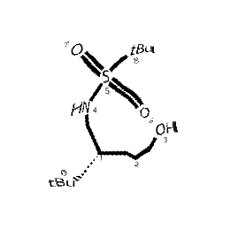 CC(C)(C)[C@@H](CO)NS(=O)(=O)C(C)(C)C